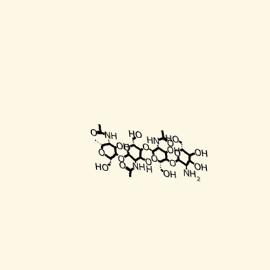 CC(=O)N[C@H]1C(OC2C(O)[C@@H](NC(C)=O)[C@@H](C)O[C@H]2CO)O[C@H](CO)C(O[C@@H]2O[C@@H](CO)C(OC3O[C@H](CO)C(O)C(O)[C@H]3N)C(O)[C@H]2NC(C)=O)C1O